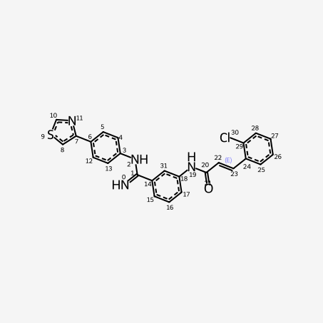 N=C(Nc1ccc(-c2cscn2)cc1)c1cccc(NC(=O)/C=C/c2ccccc2Cl)c1